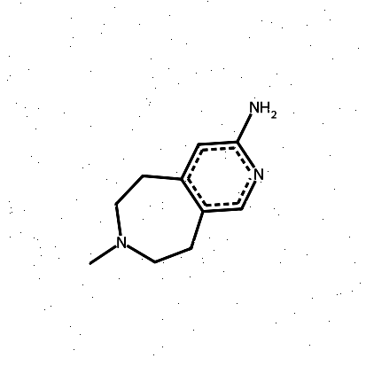 CN1CCc2cnc(N)cc2CC1